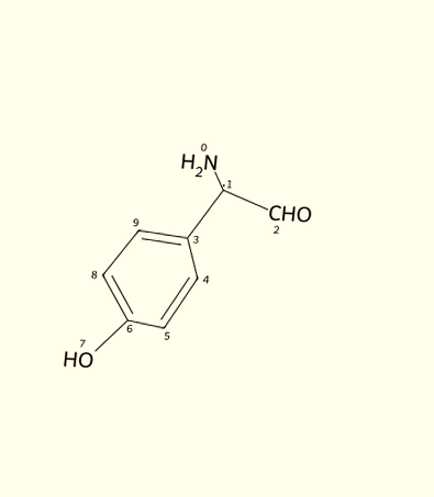 N[C](C=O)c1ccc(O)cc1